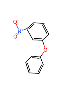 O=[N+]([O-])c1c[c]cc(Oc2ccccc2)c1